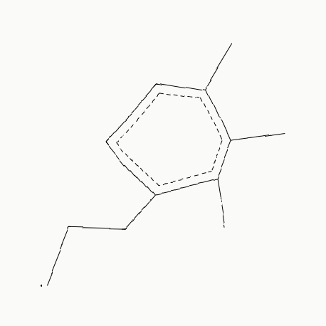 [CH2]CCc1ccc(C)c(C)c1C